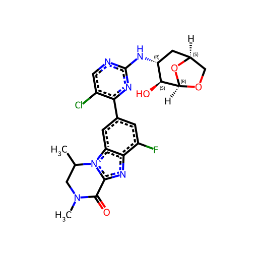 CC1CN(C)C(=O)c2nc3c(F)cc(-c4nc(N[C@@H]5C[C@H]6CO[C@H](O6)[C@H]5O)ncc4Cl)cc3n21